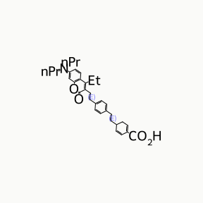 CCCN(CCC)c1ccc2c(CC)c(/C=C/c3ccc(/C=C/C4C=CC(C(=O)O)=CC4)cc3)c(=O)oc2c1